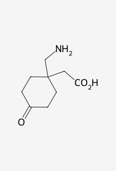 NCC1(CC(=O)O)CCC(=O)CC1